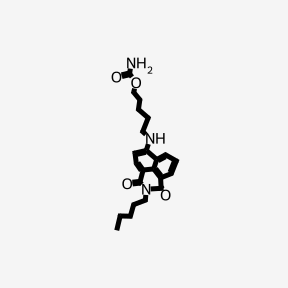 CCCCCN1C(=O)c2cccc3c(NCCCCCOC(N)=O)ccc(c23)C1=O